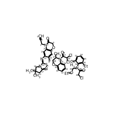 C#CCN1C(=O)COc2cc(F)c(/N=c3\snc4n3CC(C)(C)C4)cc21.CC1COc2ccccc2N1C(=O)C(Cl)Cl.CCOCN(C(=O)CCl)c1c(C)cccc1CC